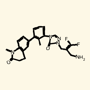 Cc1c(-c2ccc3c(c2)CCC(=O)N3C)cccc1-n1cnn(CC(CN)=C(F)F)c1=O